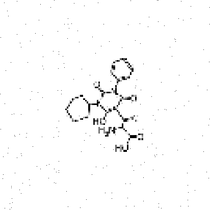 NC(C(=O)O)C(=O)c1c(O)n(C2CCCCC2)c(=O)n(-c2ccccc2)c1=O